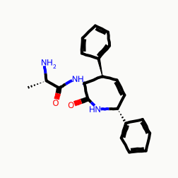 C[C@H](N)C(=O)N[C@@H]1C(=O)N[C@@H](c2ccccc2)C=C[C@@H]1c1ccccc1